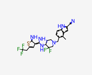 Cc1c(CN2CCC(N/C(N)=C3\C=C(CC(F)(F)F)SC3=N)C(F)(F)C2)ccc2[nH]c(C#N)cc12